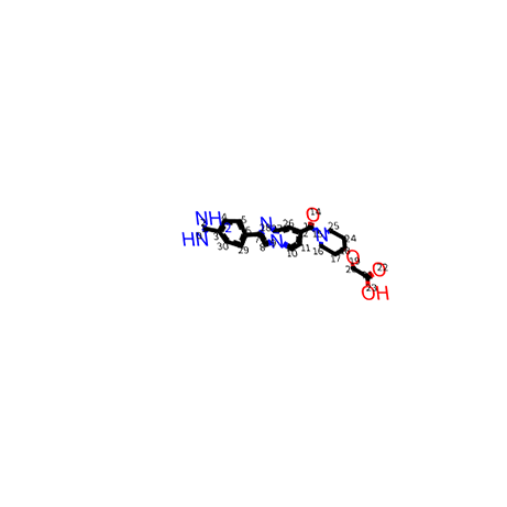 N=C(N)c1ccc(-c2cn3ccc(C(=O)N4CCC(OCC(=O)O)CC4)cc3n2)cc1